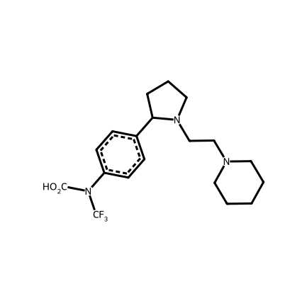 O=C(O)N(c1ccc(C2CCCN2CCN2CCCCC2)cc1)C(F)(F)F